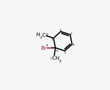 CC1C=CC=CC1(C)Br